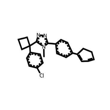 Cn1c(-c2ccc(C3=CC=CCC3)cc2)nnc1C1(c2ccc(Cl)cc2)CCC1